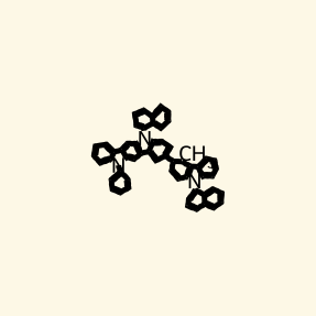 CC1c2c(n(-c3cccc4ccccc34)c3ccccc23)C=CC1c1ccc2c(c1)c1cc3c(cc1n2-c1cccc2ccccc12)c1ccccc1n3-c1ccccc1